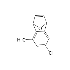 Cc1cc(Cl)cc2c1C1C=CC2O1